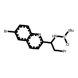 CC(C)CC(N[S+]([O-])C(C)(C)C)c1ccc2cc(Br)ccc2n1